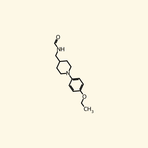 CCOc1ccc(N2CCC(CNC=O)CC2)cc1